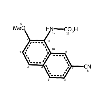 COc1ccc2ccc(C#N)cc2c1NC(=O)O